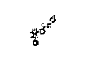 Cc1nnc(N2CCCC(C(=O)NCCN3CCN(C)CC3)C2)c2nn(-c3ccccc3)c(C)c12